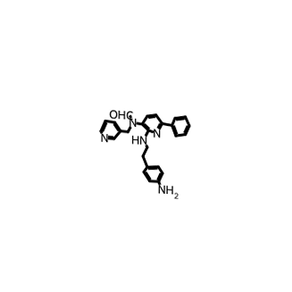 Nc1ccc(CCNc2nc(-c3ccccc3)ccc2N(C=O)Cc2cccnc2)cc1